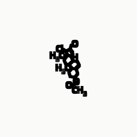 CC(=O)O[C@H]1CC[C@@]2(C)C(=CC[C@H]3C4C=C(C=O)C(Cl)[C@@]4(C)CCC32)C1